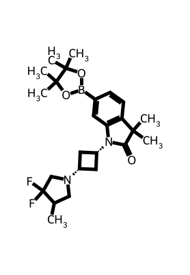 CC1CN([C@H]2C[C@@H](N3C(=O)C(C)(C)c4ccc(B5OC(C)(C)C(C)(C)O5)cc43)C2)CC1(F)F